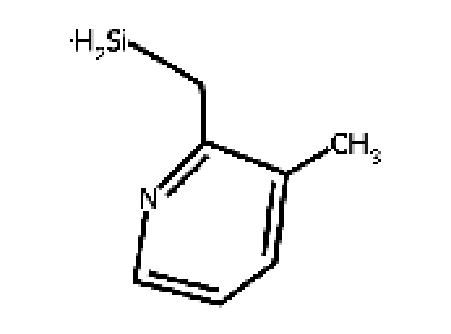 Cc1cccnc1C[SiH2]